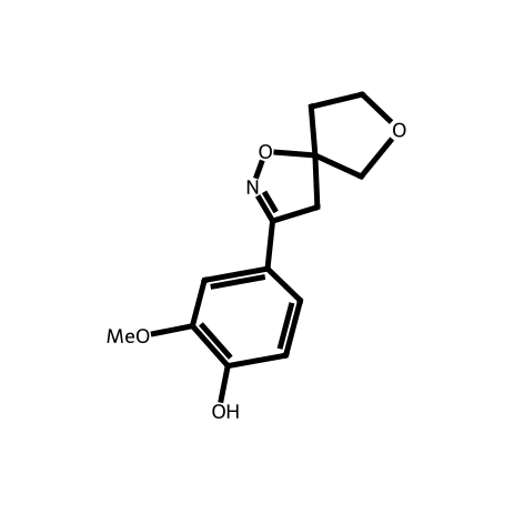 COc1cc(C2=NOC3(CCOC3)C2)ccc1O